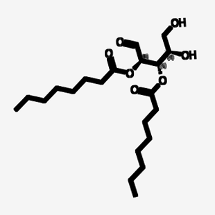 CCCCCCCC(=O)O[C@@H]([C@H](O)CO)[C@H](C=O)OC(=O)CCCCCCC